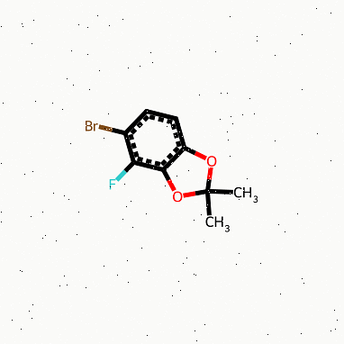 CC1(C)Oc2ccc(Br)c(F)c2O1